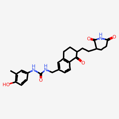 Cc1cc(NC(=O)NCc2ccc3c(c2)CCC(CCC2CCC(=O)NC2=O)C3=O)ccc1O